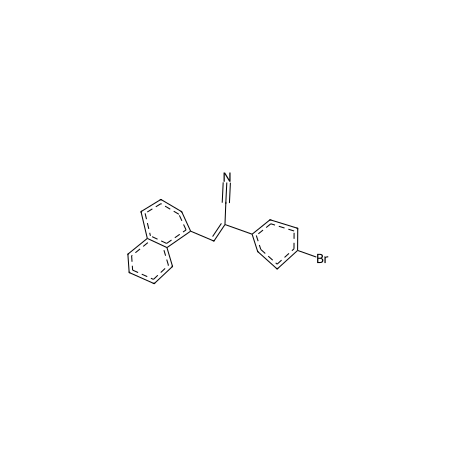 N#CC(=Cc1cccc2ccccc12)c1ccc(Br)cc1